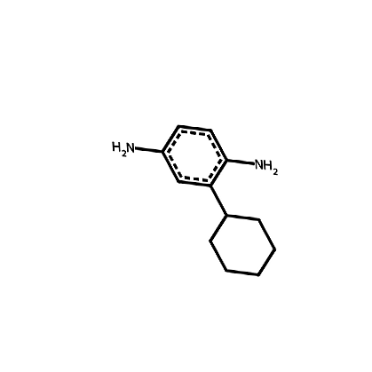 Nc1ccc(N)c(C2CCCCC2)c1